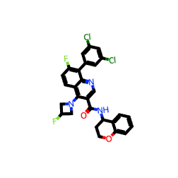 O=C(NC1CCOc2ccccc21)c1cnc2c(-c3cc(Cl)cc(Cl)c3)c(F)ccc2c1N1CC(F)C1